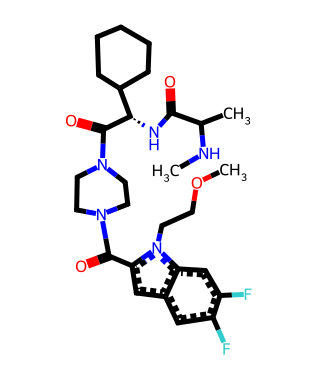 CNC(C)C(=O)N[C@H](C(=O)N1CCN(C(=O)c2cc3cc(F)c(F)cc3n2CCOC)CC1)C1CCCCC1